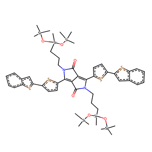 C[Si](C)(C)O[Si](C)(CCCN1C(=O)C2=C(c3ccc(-c4cc5ccccc5s4)s3)N(CCC[Si](C)(O[Si](C)(C)C)O[Si](C)(C)C)C(=O)C2=C1c1ccc(-c2cc3ccccc3s2)s1)O[Si](C)(C)C